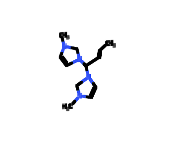 CC=CC(N1C=CN(C)C1)N1C=CN(C)C1